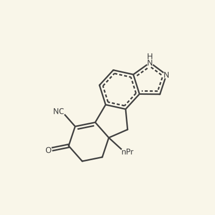 CCCC12CCC(=O)C(C#N)=C1c1ccc3[nH]ncc3c1C2